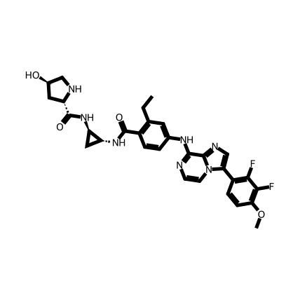 CCc1cc(Nc2nccn3c(-c4ccc(OC)c(F)c4F)cnc23)ccc1C(=O)N[C@@H]1C[C@H]1NC(=O)[C@@H]1C[C@@H](O)CN1